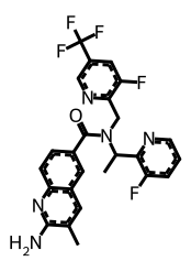 Cc1cc2cc(C(=O)N(Cc3ncc(C(F)(F)F)cc3F)C(C)c3ncccc3F)ccc2nc1N